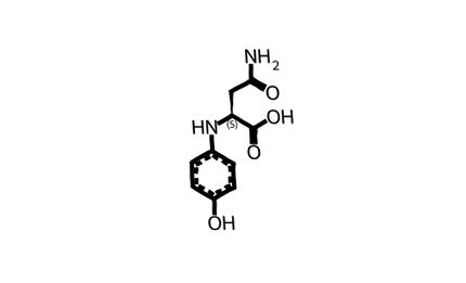 NC(=O)C[C@H](Nc1ccc(O)cc1)C(=O)O